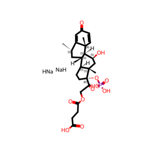 C[C@H]1C[C@@H]2[C@H]([C@@H](O)C[C@@]3(C)[C@H]2CC[C@]3(OP(=O)(O)O)C(=O)COC(=O)CCC(=O)O)[C@@]2(C)C=CC(=O)C=C12.[NaH].[NaH]